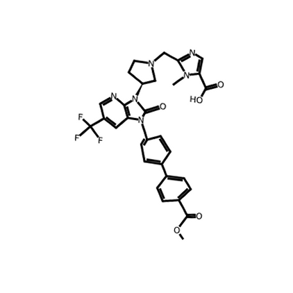 COC(=O)c1ccc(-c2ccc(-n3c(=O)n([C@H]4CCN(Cc5ncc(C(=O)O)n5C)C4)c4ncc(C(F)(F)F)cc43)cc2)cc1